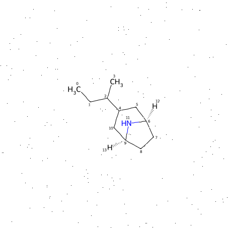 CCC(C)C1C[C@H]2CC[C@@H](C1)N2